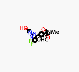 CNC1(C(C)(C)OC=O)COc2cc(-c3nc(N4CC(O)C4)nc4c3CCC4(F)F)ccc21